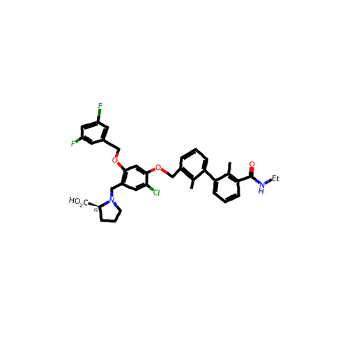 CCNC(=O)c1cccc(-c2cccc(COc3cc(OCc4cc(F)cc(F)c4)c(CN4CCC[C@H]4C(=O)O)cc3Cl)c2C)c1C